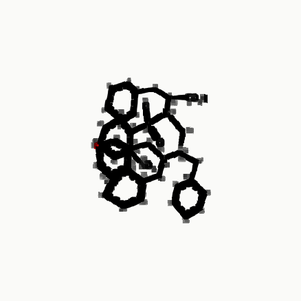 O=C(O)[C@H](Cc1ccccc1)N(C[C@H](Cc1ccccc1)N(Cc1ccccc1)Cc1ccccc1)S(=O)(=O)c1ccccc1[N+](=O)[O-]